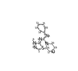 Cn1ncsc1=NC(=Nc1ccccc1)N1CCOCC1